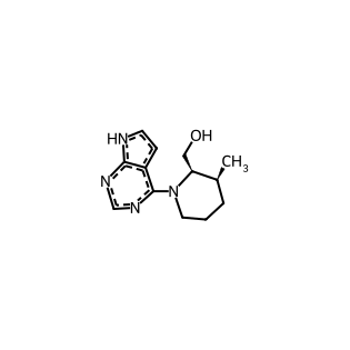 C[C@H]1CCCN(c2ncnc3[nH]ccc23)[C@H]1CO